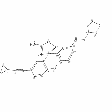 NC1=N[C@@]2(CO1)c1cc(C#CC3CC3)ccc1Oc1ccc(OCC3CCCO3)cc12